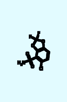 NS(=O)(=O)c1c(Cl)ccc2c1OC(F)(F)O2